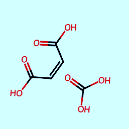 O=C(O)/C=C\C(=O)O.O=C(O)O